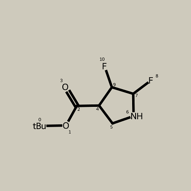 CC(C)(C)OC(=O)C1CNC(F)C1F